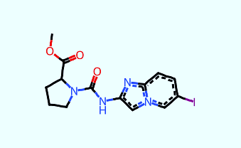 COC(=O)C1CCCN1C(=O)Nc1cn2cc(I)ccc2n1